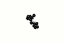 c1ccc(-c2nc3cc(-c4cccc(-c5nc6ccccc6c6c5ccc5ccc7cccnc7c56)c4)ccc3c3c2ccc2ccc4cccnc4c23)cc1